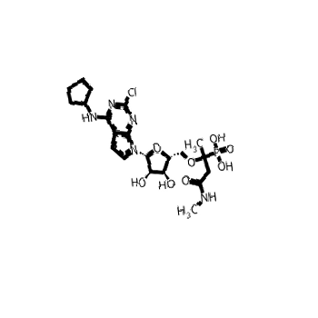 CNC(=O)CC(C)(OC[C@H]1O[C@@H](n2ccc3c(NC4CCCC4)nc(Cl)nc32)[C@H](O)[C@@H]1O)P(=O)(O)O